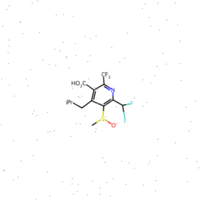 CC(C)Cc1c(C(=O)O)c(C(F)(F)F)nc(C(F)F)c1[S+](C)[O-]